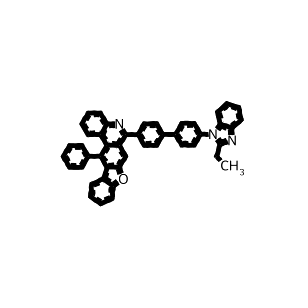 CCc1nc2ccccc2n1-c1ccc(-c2ccc(-c3nc4ccccc4c4c(-c5ccccc5)c5c(cc34)oc3ccccc35)cc2)cc1